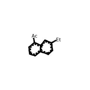 CCc1ccc2cccc(C(C)=O)c2c1